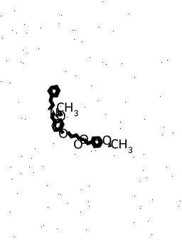 CCOc1ccc(COC(=O)CCCOc2ccc(CN(CCCc3ccccc3)C(C)=O)cc2)cc1